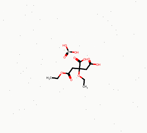 CCOC(=O)CC(CC(=O)O)(OCC)C(=O)O.[O]=[Zr]([OH])[OH]